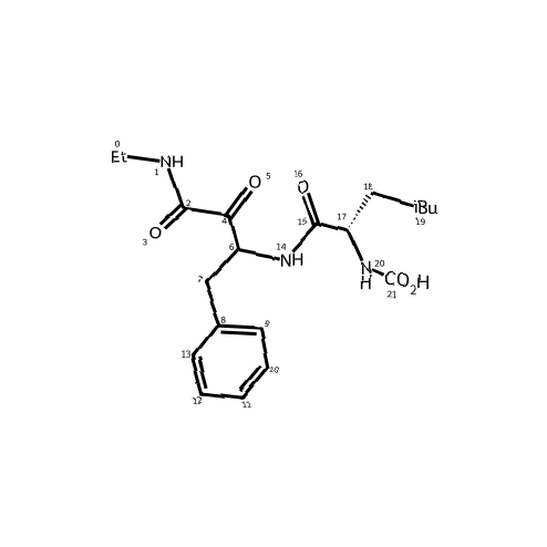 CCNC(=O)C(=O)C(Cc1ccccc1)NC(=O)[C@H](CC(C)CC)NC(=O)O